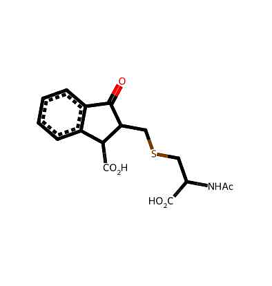 CC(=O)NC(CSCC1C(=O)c2ccccc2C1C(=O)O)C(=O)O